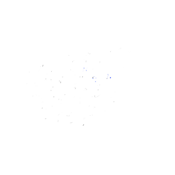 c1ccc(-c2cc(-n3c4ccccc4c4cc(-c5cccc6ccccc56)c5c(sc6c7ccccc7c7ccccc7c65)c43)nc(-c3ccccc3)n2)cc1